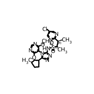 COc1ncnc(OC)c1-n1c(NS(=O)(=O)[C@@H](C)[C@H](C)c2ncc(Cl)cn2)nnc1C1CCCC1